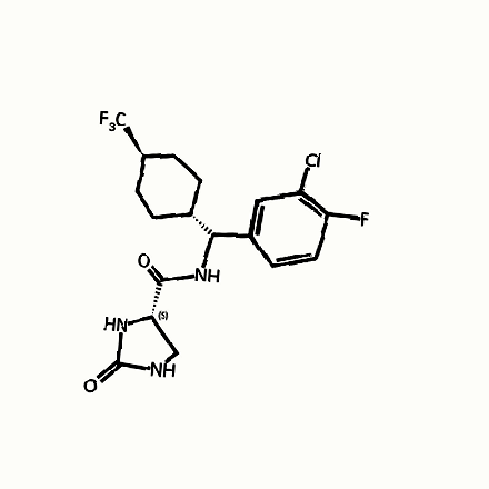 O=C1NC[C@@H](C(=O)NC(c2ccc(F)c(Cl)c2)[C@H]2CC[C@H](C(F)(F)F)CC2)N1